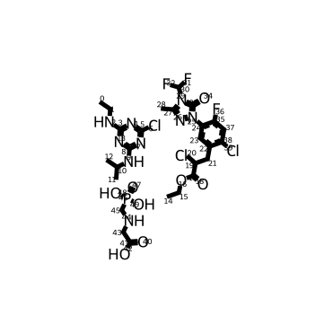 CCNc1nc(Cl)nc(NC(C)C)n1.CCOC(=O)C(Cl)Cc1cc(-n2nc(C)n(C(F)F)c2=O)c(F)cc1Cl.O=C(O)CNCP(=O)(O)O